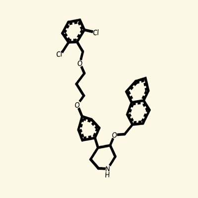 Clc1cccc(Cl)c1COCCCOc1ccc(C2CCNCC2OCc2ccc3ccccc3c2)cc1